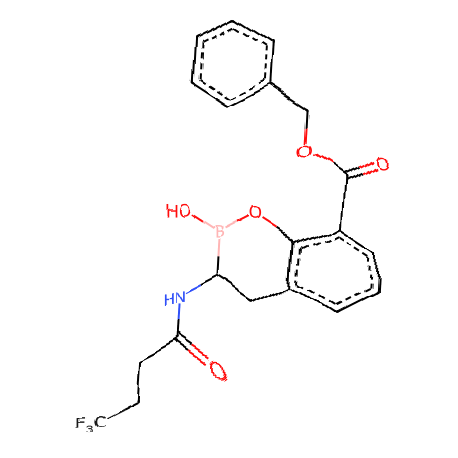 O=C(CCC(F)(F)F)NC1Cc2cccc(C(=O)OCc3ccccc3)c2OB1O